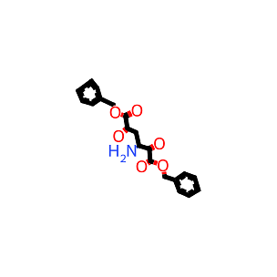 N[C@@H](CC(=O)C(=O)OCc1ccccc1)C(=O)C(=O)OCc1ccccc1